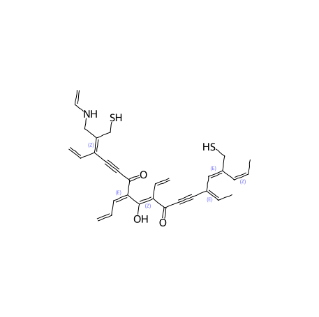 C=C/C=C(C(=O)C#C/C(C=C)=C(\CS)CNC=C)\C(O)=C(/C=C)C(=O)C#CC(=C/C)/C=C(\C=C/C)CS